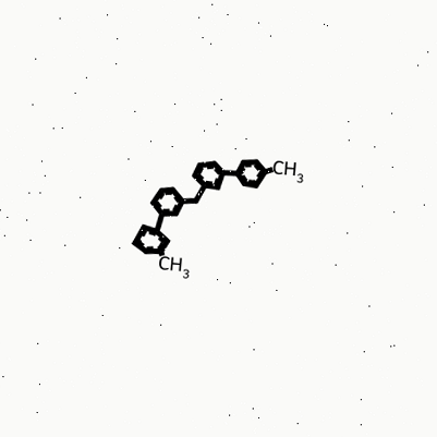 Cc1ccc(-c2cccc(Cc3cccc(-c4cccc(C)c4)c3)c2)cc1